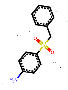 Nc1ccc(S(=O)(=O)Cc2ccccc2)cc1